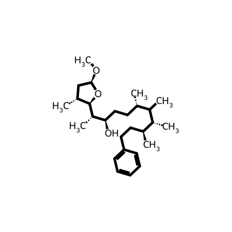 CO[C@@H]1C[C@@H](C)[C@H]([C@@H](C)[C@H](O)CC[C@H](C)C(C)[C@H](C)[C@@H](C)CCc2ccccc2)O1